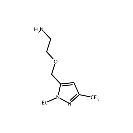 CCn1nc(C(F)(F)F)cc1COCCN